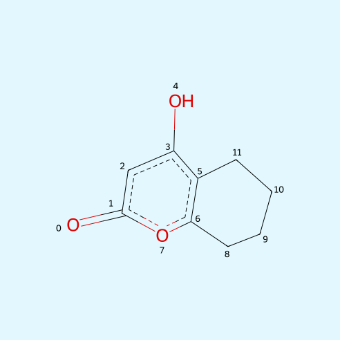 O=c1cc(O)c2c(o1)CCCC2